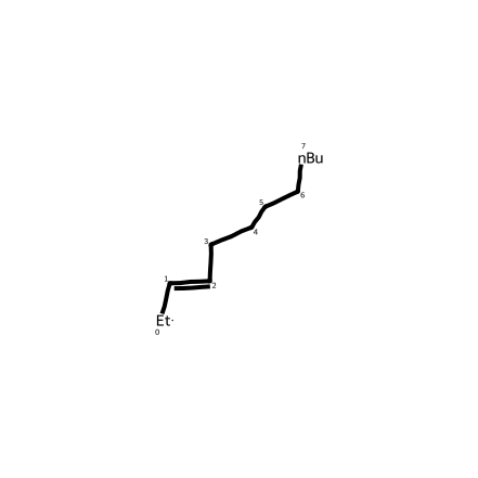 C[CH]/C=C/CCCCCCCC